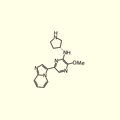 COc1ncc(-c2cnc3ccccn23)nc1N[C@@H]1CCNC1